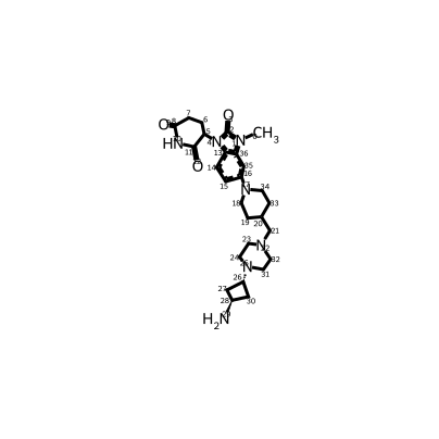 Cn1c(=O)n(C2CCC(=O)NC2=O)c2ccc(N3CCC(CN4CCN([C@H]5C[C@H](N)C5)CC4)CC3)cc21